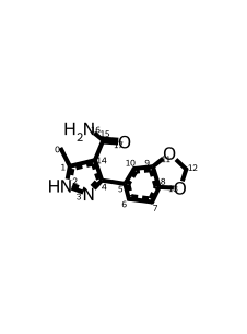 Cc1[nH]nc(-c2ccc3c(c2)OCO3)c1C(N)=O